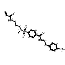 C=CC(=O)NCCCN(C)S(=O)(=O)c1ccc(C(=O)NCCc2ccc(C(C)(C)C)cc2)cc1